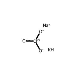 [KH].[Na+].[O-][Cl+2]([O-])[O-]